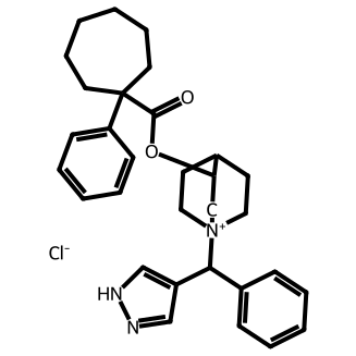 O=C(OC1C[N+]2(C(c3ccccc3)c3cn[nH]c3)CCC1CC2)C1(c2ccccc2)CCCCCC1.[Cl-]